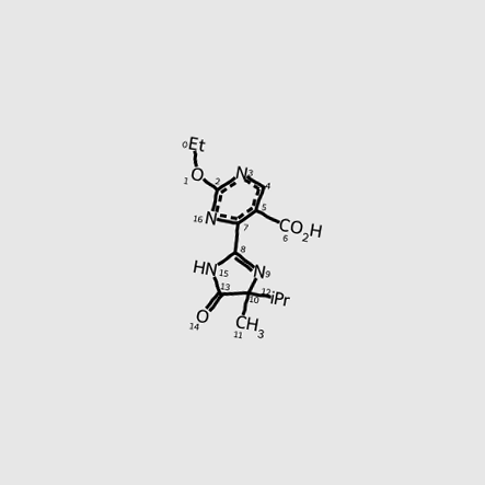 CCOc1ncc(C(=O)O)c(C2=NC(C)(C(C)C)C(=O)N2)n1